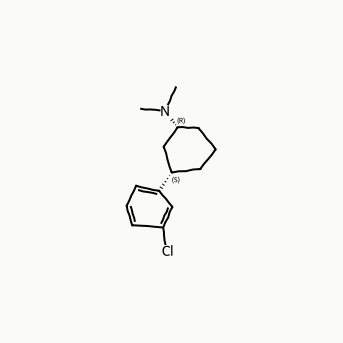 CN(C)[C@@H]1CCC[C@H](c2cccc(Cl)c2)C1